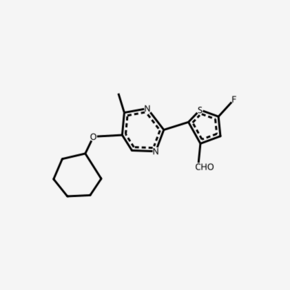 Cc1nc(-c2sc(F)cc2C=O)ncc1OC1CCCCC1